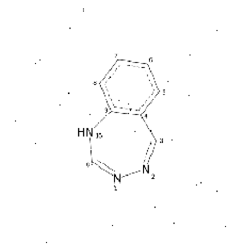 [C]1=NN=Cc2ccccc2N1